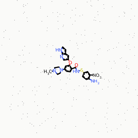 CN1CCN(c2ccc(C(=O)NSc3ccc(N)c([N+](=O)[O-])c3)c(Oc3cnc4[nH]ccc4c3)c2)CC1